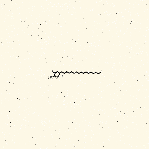 CCCCCCCCCCCCCCCCCC(O)C=C(C)C(=O)O